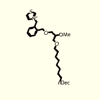 CCCCCCCCCCCCCCCCCCOCC(COCc1ccccc1C[n+]1ccsc1)OC